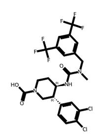 CN(Cc1cc(C(F)(F)F)cc(C(F)(F)F)c1)C(=O)N[C@@H]1CCN(C(=O)O)C[C@H]1c1ccc(Cl)c(Cl)c1